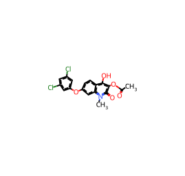 CC(=O)Oc1c(O)c2ccc(Oc3cc(Cl)cc(Cl)c3)cc2n(C)c1=O